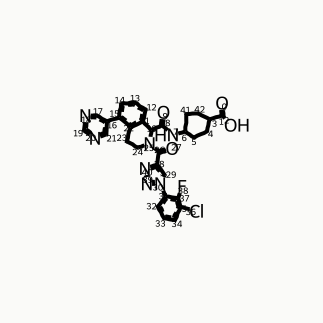 O=C(O)C1CCC(NC(=O)C2c3cccc(-c4cncnc4)c3CCN2C(=O)c2cn(-c3cccc(Cl)c3F)nn2)CC1